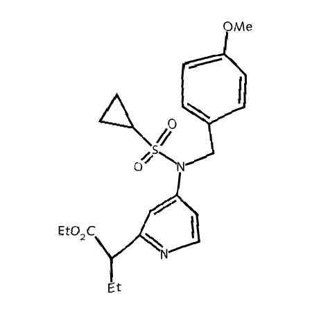 CCOC(=O)C(CC)c1cc(N(Cc2ccc(OC)cc2)S(=O)(=O)C2CC2)ccn1